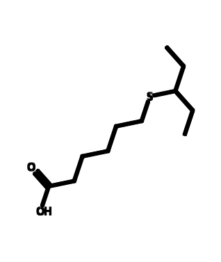 CCC(CC)SCCCCCC(=O)O